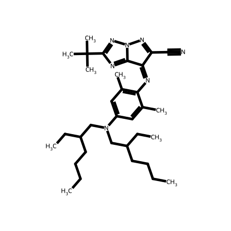 CCCCC(CC)CN(CC(CC)CCCC)c1cc(C)c(N=C2C(C#N)=Nn3nc(C(C)(C)C)nc32)c(C)c1